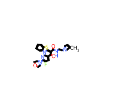 CC1=CCN(CCNC(=O)c2c(=O)c3cc(F)c(N4CCOCC4)nc3n3c2sc2ccccc23)C1